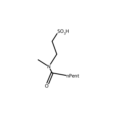 CCCCCC(=O)N(C)CCS(=O)(=O)O